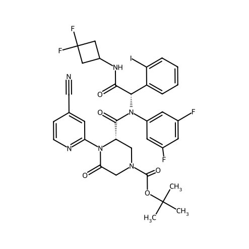 CC(C)(C)OC(=O)N1CC(=O)N(c2cc(C#N)ccn2)[C@H](C(=O)N(c2cc(F)cc(F)c2)[C@H](C(=O)NC2CC(F)(F)C2)c2ccccc2I)C1